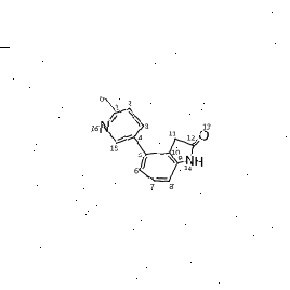 Cc1ccc(-c2cccc3c2CC(=O)N3)cn1